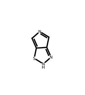 c1ncc2s[nH]nc1-2